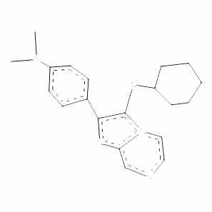 CN(C)c1ccc(-c2nc3cnccn3c2NC2CCCCC2)cc1